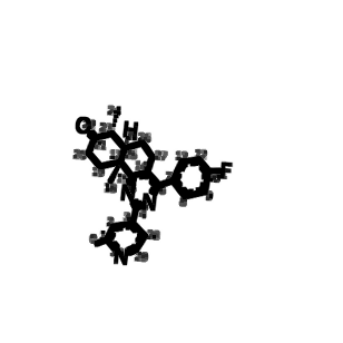 Cc1cc(-c2nc(-c3ccc(F)cc3)c3c(n2)[C@]2(C)CCC(=O)[C@H](C)[C@H]2CC3)ccn1